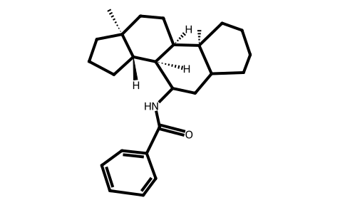 C[C@@]12CCC[C@H]1[C@@H]1C(NC(=O)c3ccccc3)CC3CCCC[C@]3(C)[C@@H]1CC2